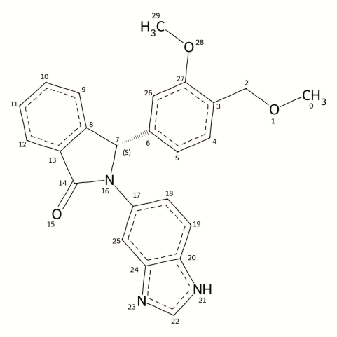 COCc1ccc([C@H]2c3ccccc3C(=O)N2c2ccc3[nH]cnc3c2)cc1OC